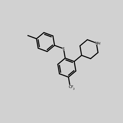 Cc1ccc(Sc2ccc(C(F)(F)F)cc2C2CCNCC2)cc1